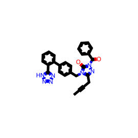 CC#CCc1nn(C(=O)c2ccccc2)c(=O)n1Cc1ccc(-c2ccccc2-c2nnn[nH]2)cc1